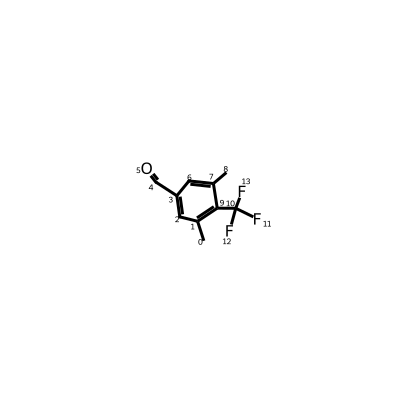 Cc1cc(C=O)cc(C)c1C(F)(F)F